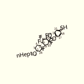 CCCCCCCO[C@H]1CC[C@H](C2(F)C(F)[CH]C(F)(C(=O)Oc3ccc(S)cc3)C(F)C2F)CC1